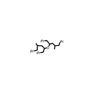 CC(C)CC(C)CC(CC(C)C)OC(CC(C)C)CC(C)CC(C)C